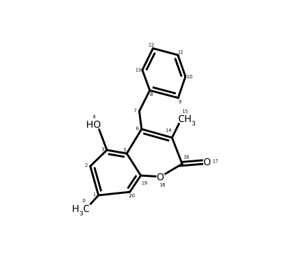 Cc1cc(O)c2c(Cc3ccccc3)c(C)c(=O)oc2c1